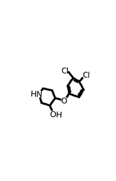 OC1CNCCC1Oc1ccc(Cl)c(Cl)c1